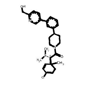 CN(C)[C@H](C(=O)N1CCC(c2cccc(-c3ccc(CO)nc3)c2)CC1)C1(C)C=CC(Cl)=CC1